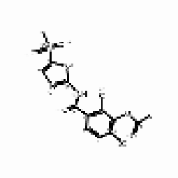 CC(=O)Oc1c(Cl)ccc(C(=O)Nc2ncc(S(C)(=O)=O)s2)c1Cl